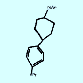 CCCc1ccc(C2CCC(OC)CC2)cc1